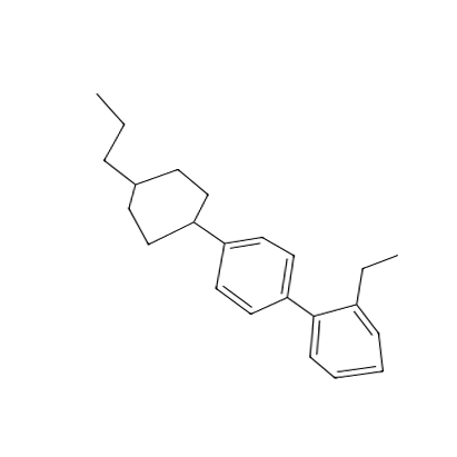 CCCC1CCC(c2ccc(-c3ccccc3CC)cc2)CC1